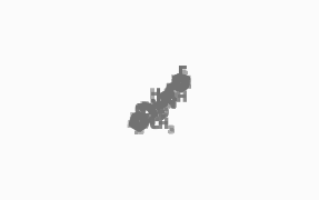 CN1C(=O)[C@H](NC(=O)c2cc(Cc3cccc(F)c3)[nH]n2)COc2ccccc21